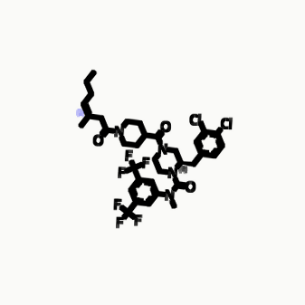 CCC/C=C(/C)CC(=O)N1CCC(C(=O)N2CCN(C(=O)N(C)c3cc(C(F)(F)F)cc(C(F)(F)F)c3)[C@H](Cc3ccc(Cl)c(Cl)c3)C2)CC1